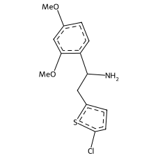 COc1ccc(C(N)Cc2ccc(Cl)s2)c(OC)c1